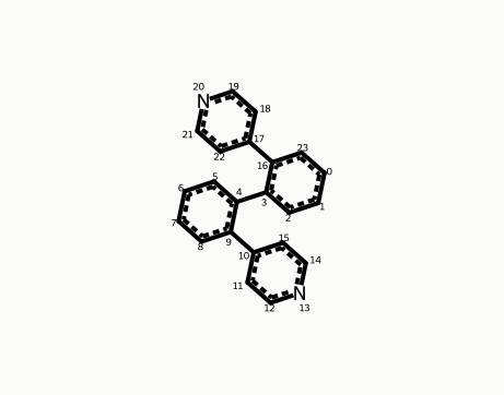 c1ccc(-c2ccccc2-c2ccncc2)c(-c2ccncc2)c1